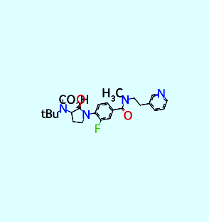 CN(CCc1cccnc1)C(=O)c1ccc(N2CCC(N(C(=O)O)C(C)(C)C)C2=O)c(F)c1